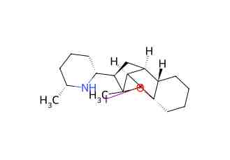 C[C@@H]1CCC[C@H]([C@H]2C[C@@H]3[C@H]4C(I)=C[C@]5(CCCC[C@@H]35)OC24C)N1